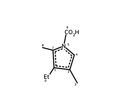 CCc1c(C)cn(C(=O)O)c1C